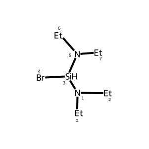 CCN(CC)[SiH](Br)N(CC)CC